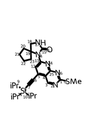 CSc1ncc2c(C#C[Si](C(C)C)(C(C)C)C(C)C)cc(N3C(=O)NCC34CCCC4)nc2n1